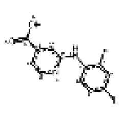 Cc1cc(I)ccc1Nc1cc(C(=O)O)ccn1